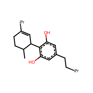 CC(C)CCc1cc(O)c(C2C=C(C(C)C)CCC2C)c(O)c1